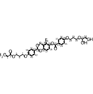 C=CC(=O)OCCCOc1ccc(C(=O)Oc2ccc(OC(=O)c3ccc(OCCCOC(O)C=C)cc3)c(F)c2F)cc1